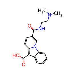 CN(C)CCNC(=O)c1ccc2c(C(=O)O)c3ccccc3n2c1